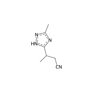 Cc1n[nH]c(C(C)CC#N)n1